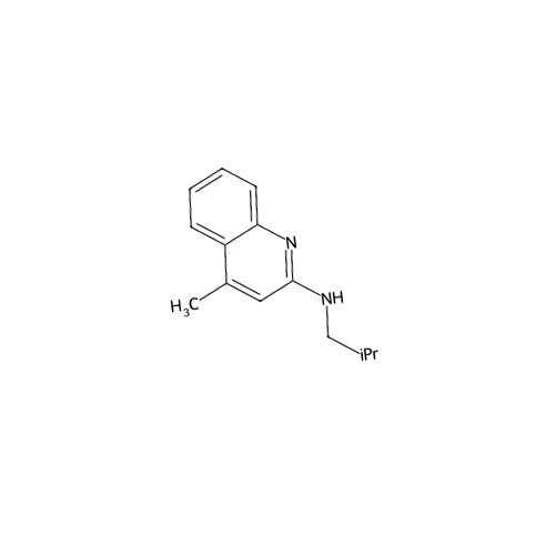 Cc1cc(NCC(C)C)nc2ccccc12